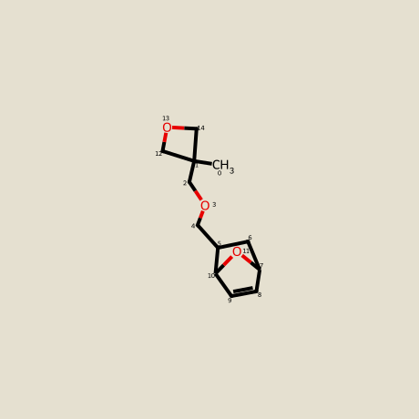 CC1(COCC2CC3C=CC2O3)COC1